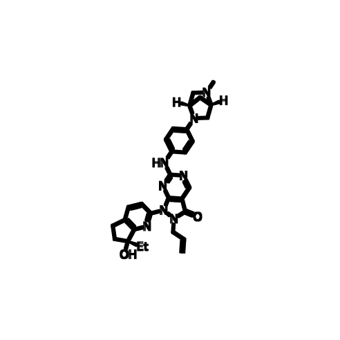 C=CCn1c(=O)c2cnc(Nc3ccc(N4C[C@@H]5C[C@H]4CN5C)cc3)nc2n1-c1ccc2c(n1)[C@@](O)(CC)CC2